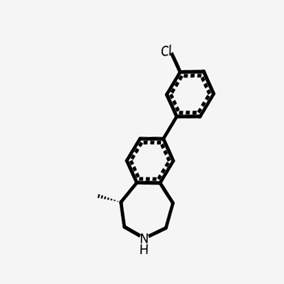 C[C@H]1CNCCc2cc(-c3cccc(Cl)c3)ccc21